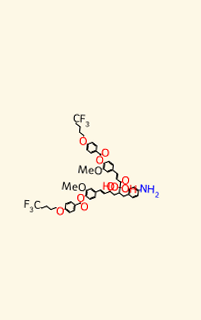 COc1cc(/C=C/C(=O)CC(Cc2ccc(N)cc2)C(O)(O)C(=O)/C=C/c2ccc(OC(=O)c3ccc(OCCCCC(F)(F)F)cc3)c(OC)c2)ccc1OC(=O)c1ccc(OCCCCC(F)(F)F)cc1